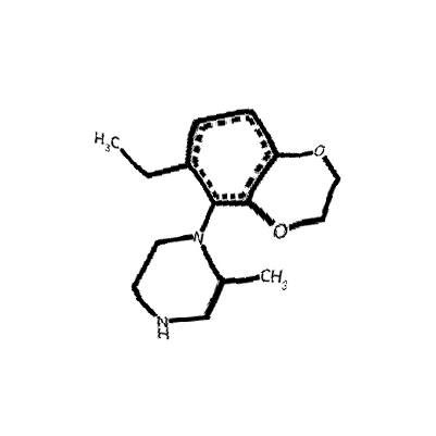 CCc1ccc2c(c1N1CCNCC1C)OCCO2